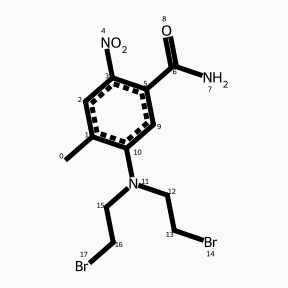 Cc1cc([N+](=O)[O-])c(C(N)=O)cc1N(CCBr)CCBr